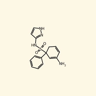 NC1=CC(c2ccccc2)(S(=O)(=O)Nc2cc[nH]n2)CC=C1